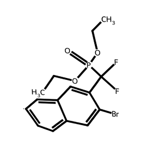 CCOP(=O)(OCC)C(F)(F)c1cc2c[c]ccc2cc1Br